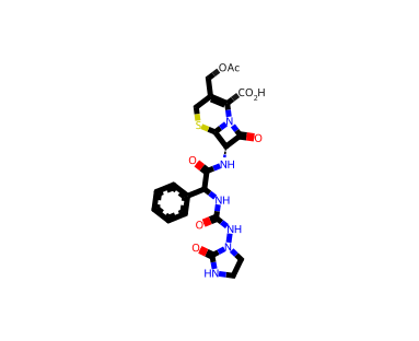 CC(=O)OCC1=C(C(=O)O)N2C(=O)[C@H](NC(=O)C(NC(=O)NN3CCNC3=O)c3ccccc3)C2SC1